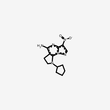 Nc1nc2c([N+](=O)[O-])cnn2c2c1CCN2C1CCCC1